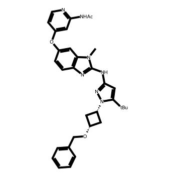 CC(=O)Nc1cc(Oc2ccc3nc(Nc4cc(C(C)(C)C)n([C@H]5C[C@@H](OCc6ccccc6)C5)n4)n(C)c3c2)ccn1